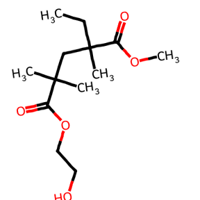 CCC(C)(CC(C)(C)C(=O)OCCO)C(=O)OC